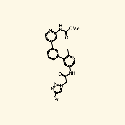 COC(=O)Nc1cc(-c2cccc(-c3cc(NC(=O)Cn4cc(C(C)C)nn4)cnc3C)c2)ccn1